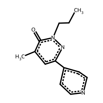 CCCn1nc(-c2ccncc2)cc(C)c1=O